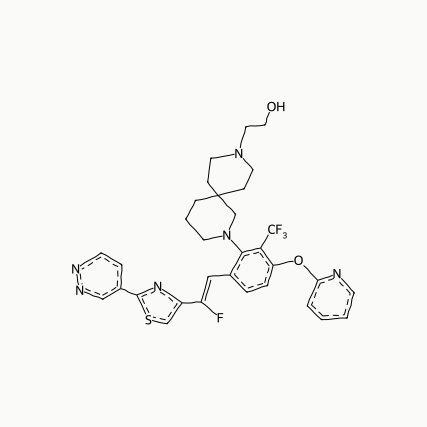 OCCN1CCC2(CCCN(c3c(/C=C(\F)c4csc(-c5ccnnc5)n4)ccc(Oc4ccccn4)c3C(F)(F)F)C2)CC1